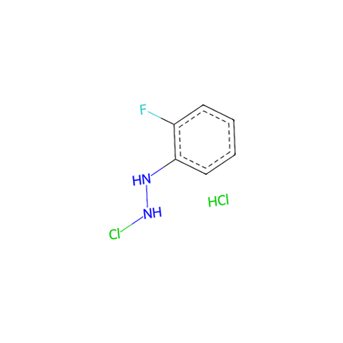 Cl.Fc1ccccc1NNCl